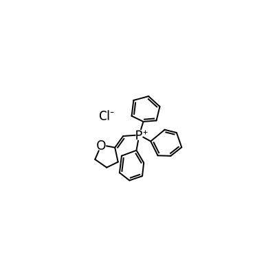 C(=C1CCCO1)[P+](c1ccccc1)(c1ccccc1)c1ccccc1.[Cl-]